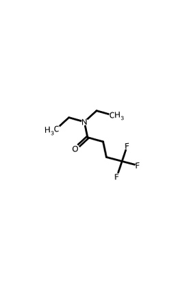 CCN(CC)C(=O)CCC(F)(F)F